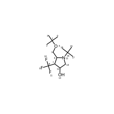 CC(C)(C)OCC1C(C(F)(F)F)C(O)CN1C(C)(C)C